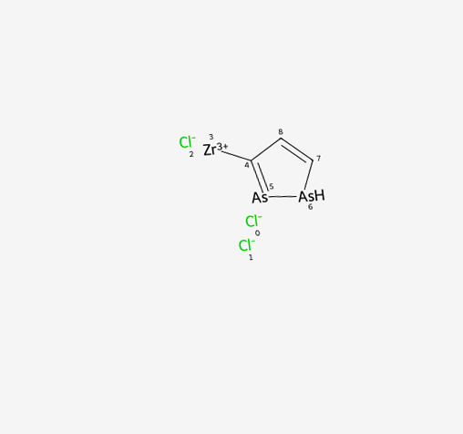 [Cl-].[Cl-].[Cl-].[Zr+3][C]1=[As][AsH]C=C1